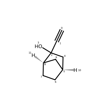 C#CC1(O)C[C@H]2CC[C@@H]1C2